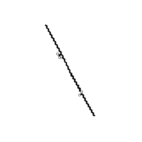 CCCCCCCCCCCCCCCCCCC(CCCCCCCCCCCCCCCCCCCCCCOC(=O)CCCCCCCCCCCCCCC)C(=O)O